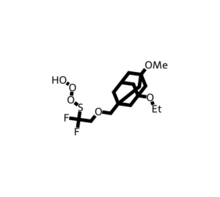 CCOC12CC3CC(COCC(F)(F)SOOO)(CC(OC)(C3)C1)C2